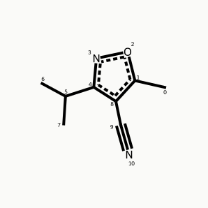 Cc1onc(C(C)C)c1C#N